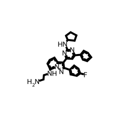 NCCNc1cccc2c(-c3cc(-c4ccccc4)nc(NC4CCCC4)n3)c(-c3ccc(F)cc3)nn12